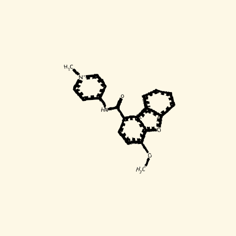 COc1ccc(C(=O)Nc2cc[n+](C)cc2)c2c1oc1ccccc12